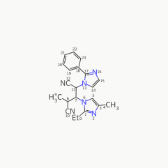 CCc1nc(C)cn1C(C(C)C#N)C(C#N)n1ccnc1-c1ccccc1